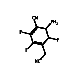 N#CCC1=C(F)C(F)=C(C#N)C(P)C1F